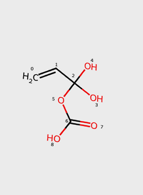 C=CC(O)(O)OC(=O)O